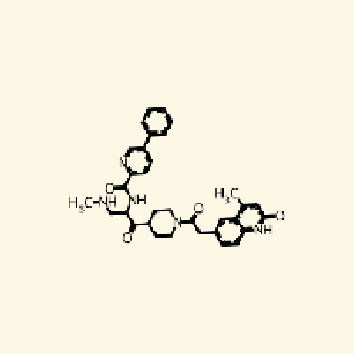 CNCC(NC(=O)c1ccc(-c2ccccc2)cn1)C(=O)C1CCN(C(=O)Cc2ccc3[nH]c(=O)cc(C)c3c2)CC1